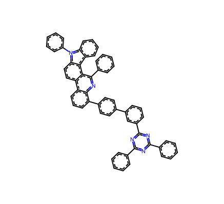 c1ccc(-c2nc(-c3ccccc3)nc(-c3cccc(-c4ccc(-c5cccc6c5nc(-c5ccccc5)c5c6ccc6c5c5ccccc5n6-c5ccccc5)cc4)c3)n2)cc1